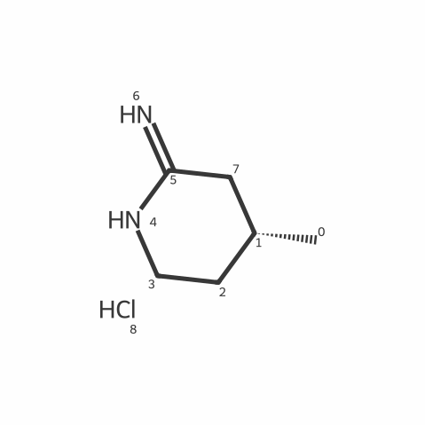 C[C@@H]1CCNC(=N)C1.Cl